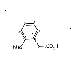 CSc1ccccc1CC(=O)O